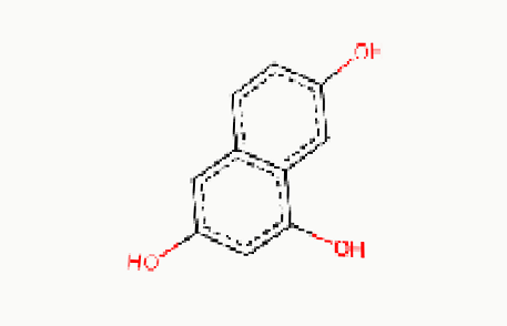 Oc1cc(O)c2cc(O)ccc2c1